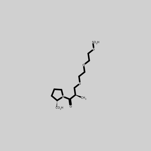 C[C@H](CSCCOCCSS(=O)(=O)O)C(=O)N1CCC[C@H]1C(=O)O